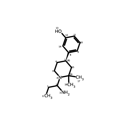 CCC(N)N1CC[C@@H](c2cccc(O)c2)CC1(C)C